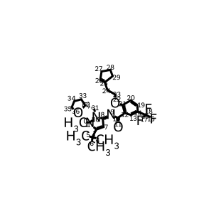 Cn1c(C(C)(C)C)cc(=NC(=O)c2cc(C(F)(F)F)ccc2OCCC2=CCCC2)n1C[C@H]1CCCO1